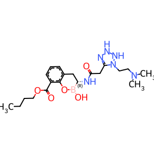 CCCCOC(=O)c1cccc2c1OB(O)[C@@H](NC(=O)CC1=NNNN1CCN(C)C)C2